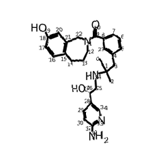 CC(C)(Cc1cccc(C(=O)N2CCCc3ccc(O)cc3C2)c1)NC[C@@H](O)c1ccc(N)nc1